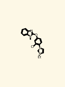 CCN1C=CN(c2ccc(Oc3nc4ccccc4n3C)cc2Cl)C1